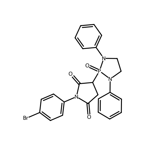 O=C1CC(P2(=O)N(c3ccccc3)CCN2c2ccccc2)C(=O)N1c1ccc(Br)cc1